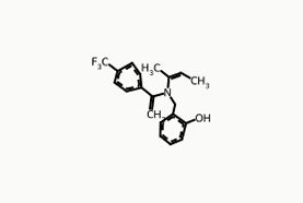 C=C(c1ccc(C(F)(F)F)cc1)N(Cc1ccccc1O)/C(C)=C\C